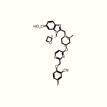 C[C@H]1C[C@@H](Oc2ccnc(COc3ccc(F)cc3C#N)n2)CCN1Cc1nc2ccc(C(=O)O)cc2n1C[C@H]1CCO1